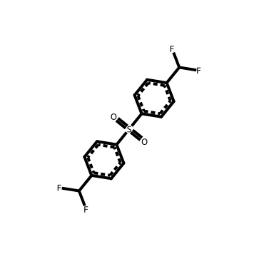 O=S(=O)(c1ccc(C(F)F)cc1)c1ccc(C(F)F)cc1